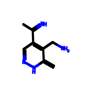 C=C1NN=CC(C(C)=N)=C1CN